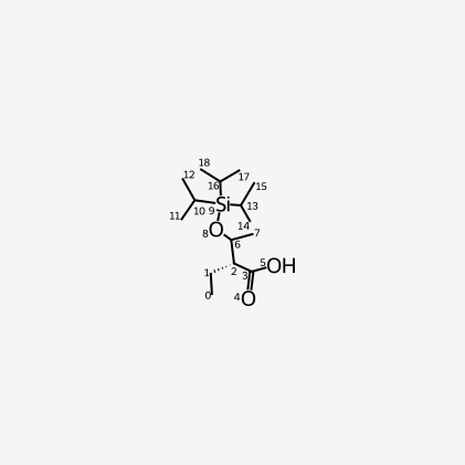 CC[C@@H](C(=O)O)C(C)O[Si](C(C)C)(C(C)C)C(C)C